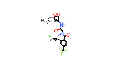 C[C@]1(O)C[C@@H](NC(=O)CN2C[C@@]3(C[C@@H]3F)c3cc(C(F)(F)F)ccc3C2=O)C1